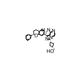 Nc1nccn2c1c(-c1ccc3c(c1)O[C@@H](c1ccccc1)CC3)nc2[C@H]1C[C@@H](CO)C1